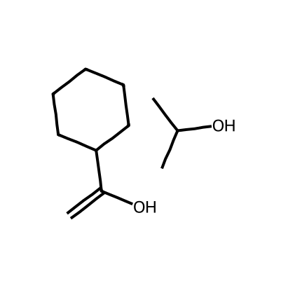 C=C(O)C1CCCCC1.CC(C)O